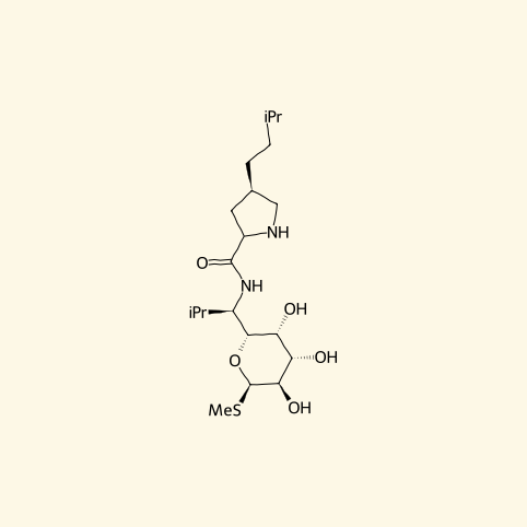 CS[C@H]1O[C@H]([C@H](NC(=O)C2C[C@@H](CCC(C)C)CN2)C(C)C)[C@H](O)[C@H](O)[C@H]1O